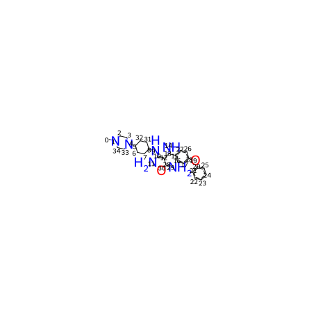 CN1CCN([C@H]2CC[C@H](N/C(N)=C(\C(=N)c3ccc(Oc4ccccc4)cc3)C(N)=O)CC2)CC1